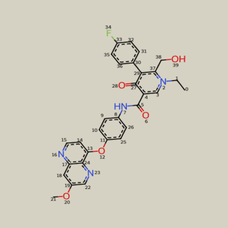 CCn1cc(C(=O)Nc2ccc(Oc3ccnc4cc(OC)cnc34)cc2)c(=O)c(-c2ccc(F)cc2)c1CO